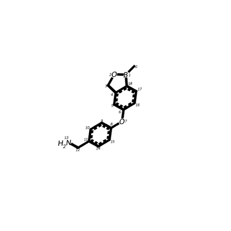 CB1OCc2cc(Oc3ccc(CN)cc3)ccc21